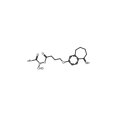 CCCC(=O)N(C=O)OC(=O)CCCOc1ccc2c(c1)CCCCC2=N